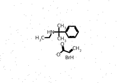 Br.C=CC([O])=O.CCNC(C)(C)c1ccccc1